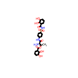 C[C@@H](OC(=O)c1cccc(O)c1O)[C@H](N)C(=O)Nc1ccc(S(=O)(=O)NC(=O)c2cccc(O)c2O)cc1